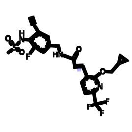 C#Cc1cc(CNC(=O)/C=C/c2ccc(C(F)(F)F)nc2OCC2CC2)cc(F)c1NS(C)(=O)=O